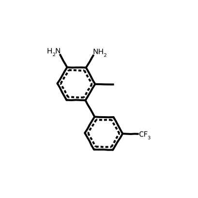 Cc1c(-c2cccc(C(F)(F)F)c2)ccc(N)c1N